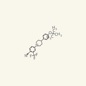 CC(C)(C)Oc1ccc(C2CCN(c3ccc(C#N)c(C(F)(F)F)c3)CC2)cc1